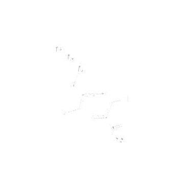 COC(=O)c1cc(Br)c(CN=[N+]=[N-])cc1Cl